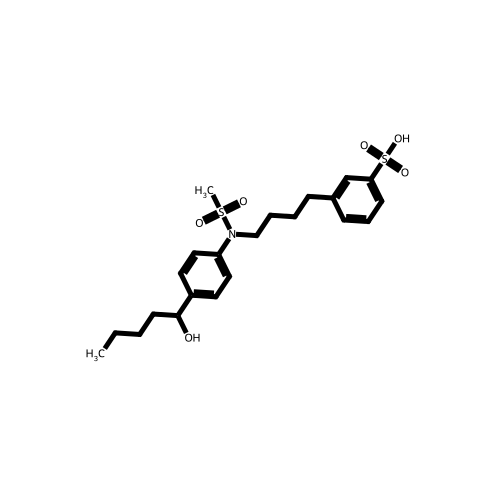 CCCCC(O)c1ccc(N(CCCCc2cccc(S(=O)(=O)O)c2)S(C)(=O)=O)cc1